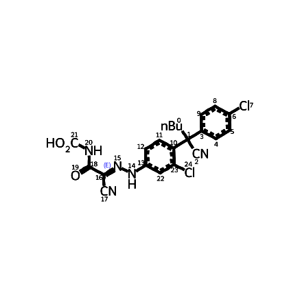 CCCCC(C#N)(c1ccc(Cl)cc1)c1ccc(N/N=C(\C#N)C(=O)NC(=O)O)cc1Cl